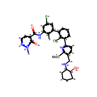 COc1nc(-c2cccc(-c3cc(F)cc(NC(=O)c4ccnn(C)c4=O)c3C)c2Cl)ccc1CNC1CCCC[C@@H]1O